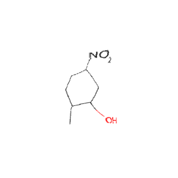 CC1CCC([N+](=O)[O-])CC1O